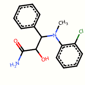 CN(c1ccccc1Cl)C(c1ccccc1)C(O)C(N)=O